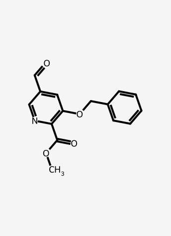 COC(=O)c1ncc(C=O)cc1OCc1ccccc1